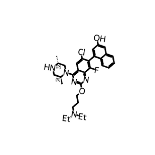 CCN(CC)CCCOc1nc(N2C[C@@H](C)NC[C@@H]2C)c2cc(Cl)c(-c3cc(O)cc4ccccc34)c(F)c2n1